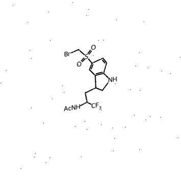 CC(=O)NC(CC1CNc2ccc(S(=O)(=O)CBr)cc21)C(F)(F)F